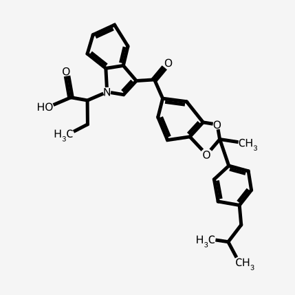 CCC(C(=O)O)n1cc(C(=O)c2ccc3c(c2)OC(C)(c2ccc(CC(C)C)cc2)O3)c2ccccc21